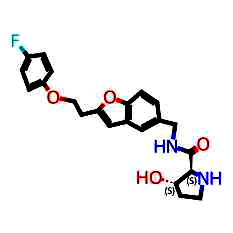 O=C(NCc1ccc2oc(CCOc3ccc(F)cc3)cc2c1)[C@H]1NCC[C@@H]1O